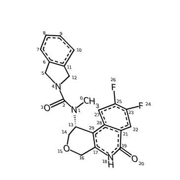 CN(C(=O)N1Cc2ccccc2C1)[C@H]1COCc2[nH]c(=O)c3cc(F)c(F)cc3c21